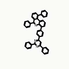 c1ccc(-c2cc(-c3ccc(-c4cccc5c4nc(-c4ccccc4)c4cccc(-c6ccccc6)c45)cc3)nc(-c3ccccc3)n2)cc1